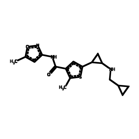 Cc1cc(NC(=O)c2cc(C3CC3NCC3CC3)sc2C)no1